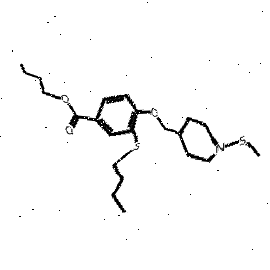 CCCCOC(=O)c1ccc(OCC2CCN(SC)CC2)c(SCCCC)c1